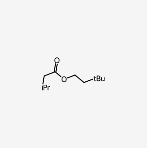 CC(C)CC(=O)OCCC(C)(C)C